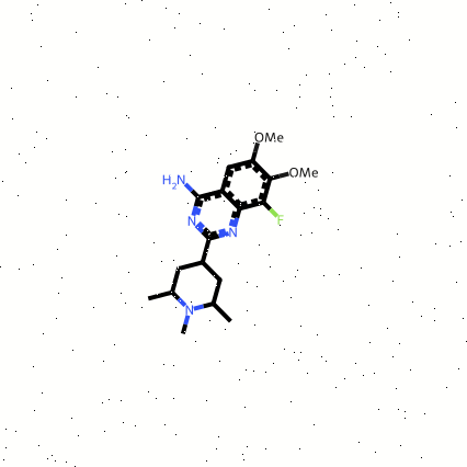 COc1cc2c(N)nc(C3CC(C)N(C)C(C)C3)nc2c(F)c1OC